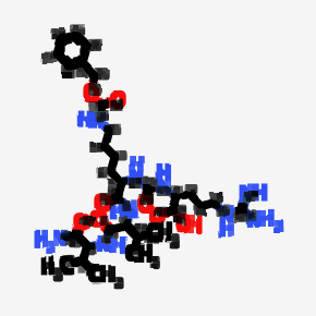 CC(C)C(NC(=O)C(NC(=O)[C@@H](CCCCNC(=O)OCc1ccccc1)NC(=O)N[C@@H](CCCNC(=N)N)C(=O)O)C(C)C)C(N)=O